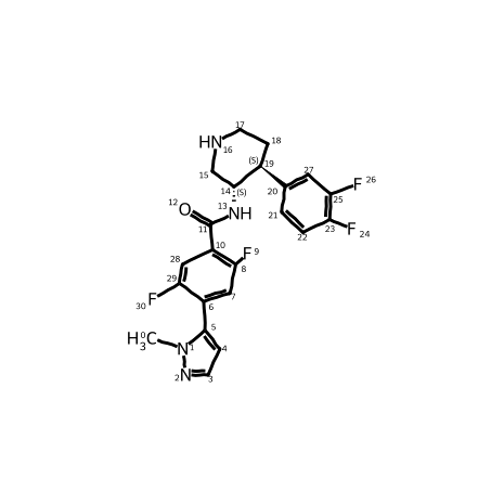 Cn1nccc1-c1cc(F)c(C(=O)N[C@@H]2CNCC[C@H]2c2ccc(F)c(F)c2)cc1F